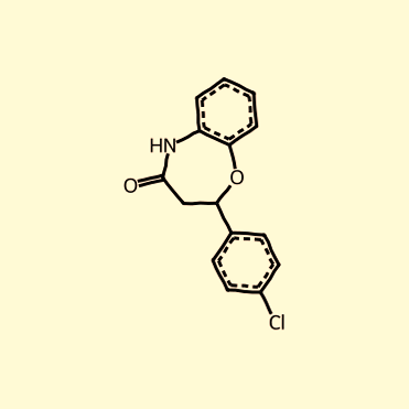 O=C1CC(c2ccc(Cl)cc2)Oc2ccccc2N1